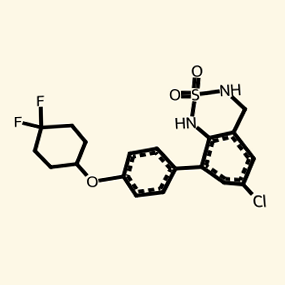 O=S1(=O)NCc2cc(Cl)cc(-c3ccc(OC4CCC(F)(F)CC4)cc3)c2N1